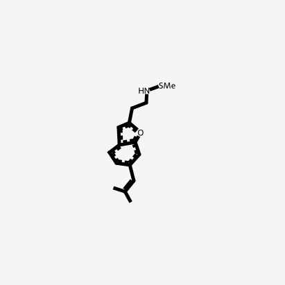 CSNCCc1cc2ccc(C=C(C)C)cc2o1